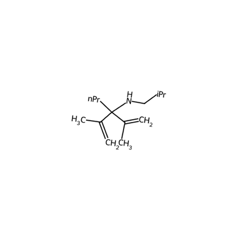 C=C(C)C(CCC)(NCC(C)C)C(=C)C